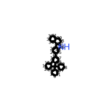 c1ccc(C2(c3ccccc3)c3ccccc3-c3cc(-c4ccc5c(c4)[nH]c4ccc6ccccc6c45)ccc32)cc1